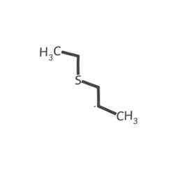 C[CH]CSCC